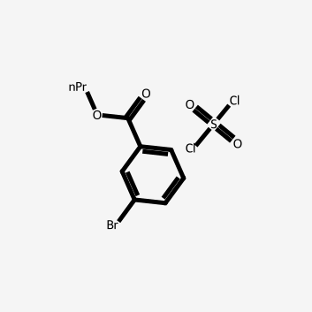 CCCOC(=O)c1cccc(Br)c1.O=S(=O)(Cl)Cl